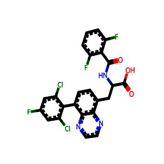 O=C(NC(Cc1ccc(-c2c(Cl)cc(F)cc2Cl)c2nccnc12)C(=O)O)c1c(F)cccc1F